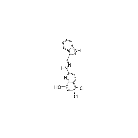 Oc1cc(Cl)c(Cl)c2ccc(N/N=C/c3c[nH]c4ccccc34)nc12